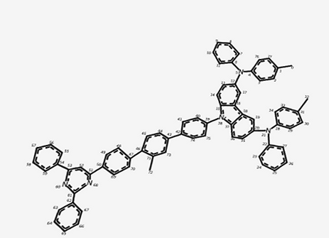 Cc1ccc(N(c2ccccc2)c2ccc3c(c2)c2cc(N(c4ccccc4)c4ccc(C)cc4)ccc2n3-c2ccc(-c3ccc(-c4ccc(-c5cc(-c6ccccc6)nc(-c6ccccc6)n5)cc4)c(C)c3)cc2)cc1